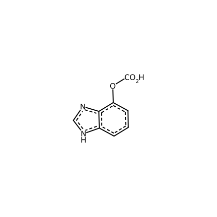 O=C(O)Oc1cccc2[nH]cnc12